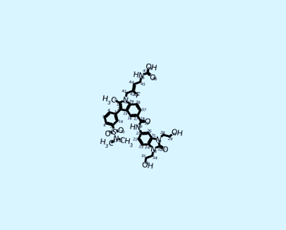 Cc1c(-c2cccc(S(=O)(=O)N(C)C)c2)c2cc(C(=O)Nc3ccc4c(c3)n(CCO)c(=O)n4CCO)ccc2n1C/C(F)=C/CNC(=O)O